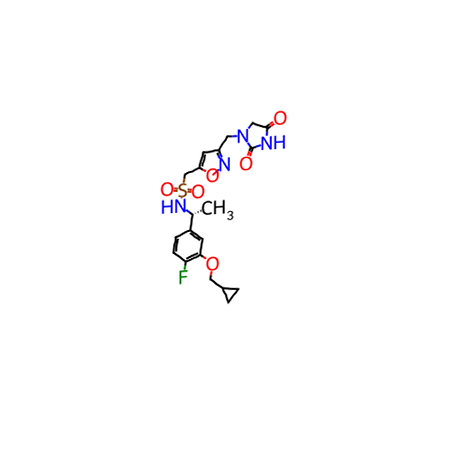 C[C@@H](NS(=O)(=O)Cc1cc(CN2CC(=O)NC2=O)no1)c1ccc(F)c(OCC2CC2)c1